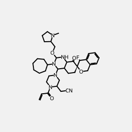 C=CC(=O)N1CCN(C2C3CC[C@@]4(OCc5ccccc5C4F)C(=O)C3NC(OCC3CCCN3C)N2C2CCCCCC2)CC1CC#N